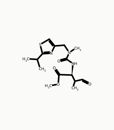 COC(=O)[C@@H](NC(=O)N(C)Cc1csc(C(C)C)n1)C(C)C=O